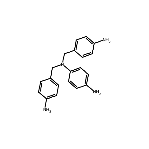 Nc1ccc(CN(Cc2ccc(N)cc2)c2ccc(N)cc2)cc1